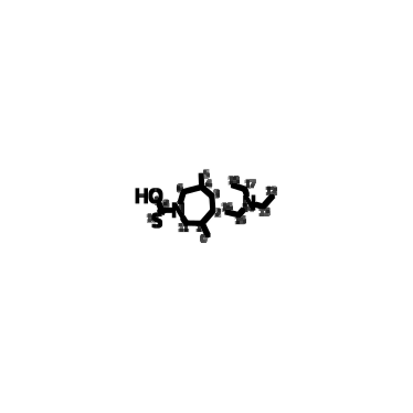 CC1CCC(C)CN(C(O)=S)C1.CCN(CC)CC